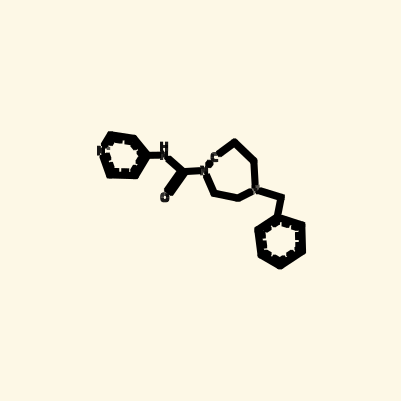 O=C(Nc1ccncc1)N1CCCN(Cc2ccccc2)CC1